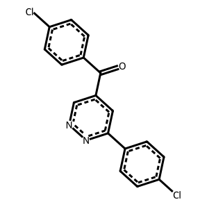 O=C(c1ccc(Cl)cc1)c1cnnc(-c2ccc(Cl)cc2)c1